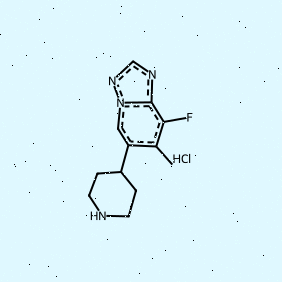 Cc1c(C2CCNCC2)cn2ncnc2c1F.Cl